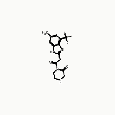 Cc1cc(C(F)(F)F)c2nc(CC(=O)N3CCNCC3=O)[nH]c2c1